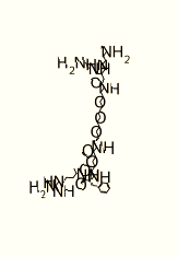 CC(CCCNC(=N)N)NC(=O)[C@H](Cc1ccccc1)NC(=O)COCC(=O)NCCOCCOCCOCCNC(=O)CC(CNCCN)CNCCN